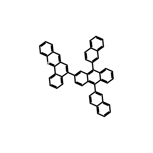 c1ccc2cc(-c3c4ccccc4c(-c4ccc5ccccc5c4)c4cc(-c5cc6cc7ccccc7nc6c6ccccc56)ccc34)ccc2c1